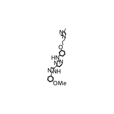 COc1cccc(-c2ncc(-c3ccnc(Nc4cccc(OCCCn5cnc(C)c5)c4)n3)[nH]2)c1